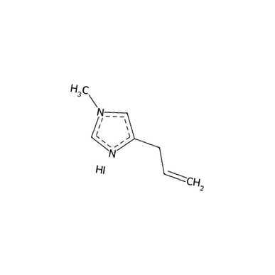 C=CCc1cn(C)cn1.I